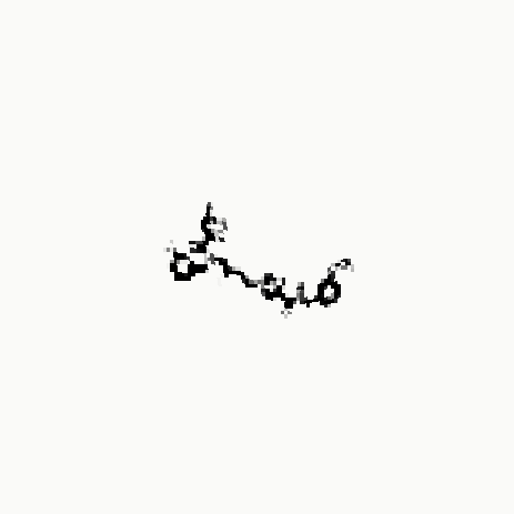 O=C(NCc1cccc(OC(F)(F)F)c1)c1cn(CCC(F)CN(Cc2cccc(C(F)(F)F)n2)C(=O)c2c[nH]nn2)nn1